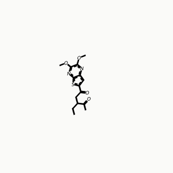 CCC(CC(=O)c1cc2nc(OC)c(OC)nc2s1)C(C)=O